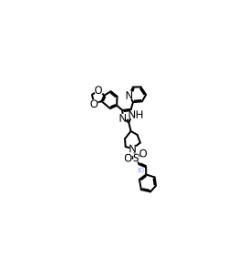 O=S(=O)(/C=C/c1ccccc1)N1CCC(c2nc(-c3ccc4c(c3)OCO4)c(-c3ccccn3)[nH]2)CC1